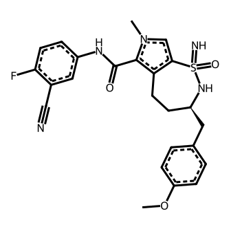 COc1ccc(C[C@H]2CCc3c(cn(C)c3C(=O)Nc3ccc(F)c(C#N)c3)S(=N)(=O)N2)cc1